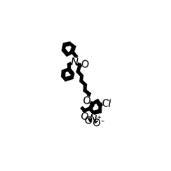 CC(=O)c1c(OCCCCCCC(=O)N(Cc2ccccc2)Cc2ccccc2)cc(Cl)cc1[N+](=O)[O-]